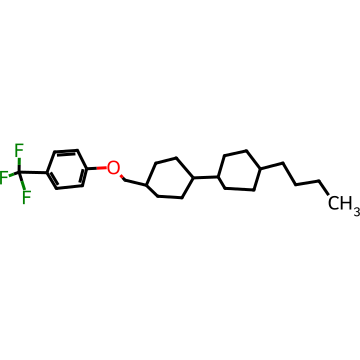 CCCCC1CCC(C2CCC(COc3ccc(C(F)(F)F)cc3)CC2)CC1